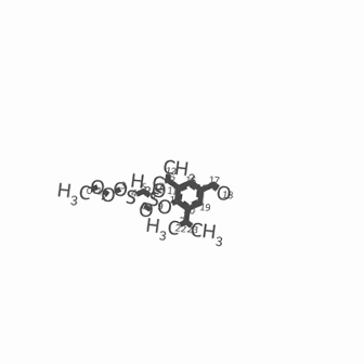 COOOSCS(=O)(=O)Oc1c(C(C)C)cc(C=O)cc1C(C)C